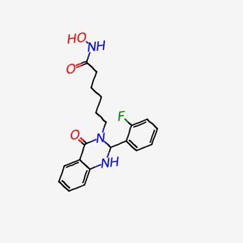 O=C(CCCCCN1C(=O)c2ccccc2NC1c1ccccc1F)NO